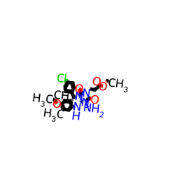 CCOC(=O)CCN1C(=O)N(N)C(Nc2ccc(OC(C)C)c(C)c2)N(Cc2ccc(Cl)cc2)C1=O